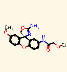 COCC(=O)Nc1ccc2c(c1)[C@@]1(COC(N)=N1)c1cc(OC)ccc1O2